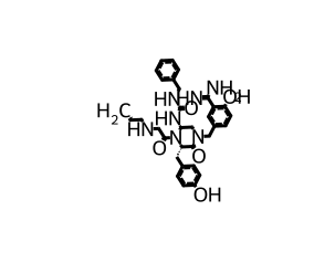 C=CCNCC(=O)N1[C@@H](NC(=O)NCc2ccccc2)CN(Cc2ccc(O)c(C(=N)N)c2)C(=O)[C@@H]1Cc1ccc(O)cc1